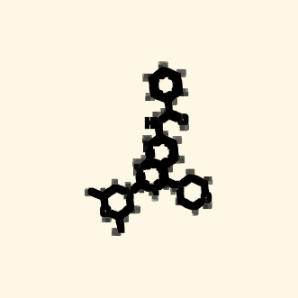 CC1CN(c2nc(N3CCOCC3)c3ccc(NC(=O)c4ccccc4)nc3n2)CC(C)O1